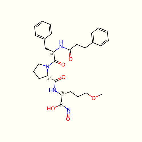 COCCC[C@@H](NC(=O)[C@@H]1CCCN1C(=O)[C@@H](Cc1ccccc1)NC(=O)CCc1ccccc1)B(O)N=O